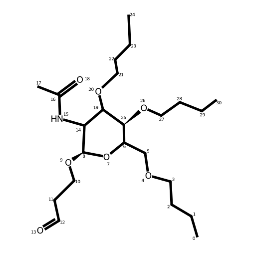 CCCCOCC1O[C@@H](OCCC=O)C(NC(C)=O)C(OCCCC)[C@H]1OCCCC